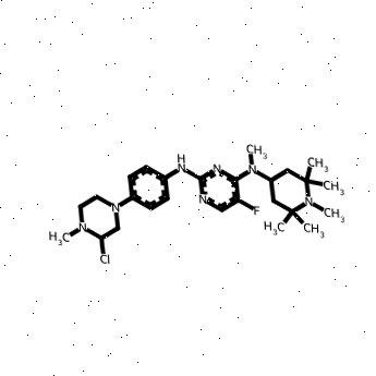 CN1CCN(c2ccc(Nc3ncc(F)c(N(C)C4CC(C)(C)N(C)C(C)(C)C4)n3)cc2)CC1Cl